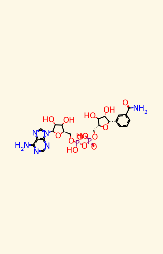 NC(=O)c1cccc([C@@H]2O[C@H](COP(=O)(O)OP(=O)(O)OC[C@H]3O[C@@H](n4cnc5c(N)ncnc54)[C@@H](O)C3O)C(O)[C@@H]2O)c1